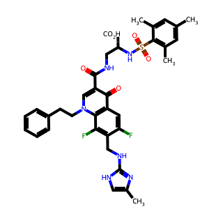 Cc1cc(C)c(S(=O)(=O)NC(CNC(=O)c2cn(CCc3ccccc3)c3c(F)c(CNc4nc(C)c[nH]4)c(F)cc3c2=O)C(=O)O)c(C)c1